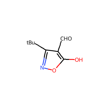 CC(C)(C)c1noc(O)c1C=O